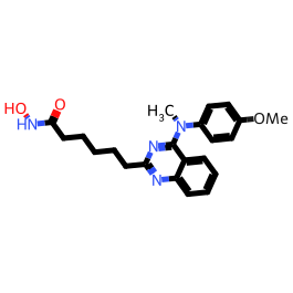 COc1ccc(N(C)c2nc(CCCCCC(=O)NO)nc3ccccc23)cc1